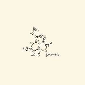 CN(C)C(=O)C1c2c(CN=[N+]=[N-])csc2C(O)CN1C(=O)OC(C)(C)C